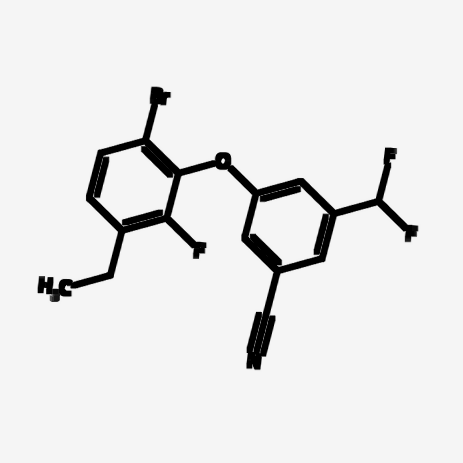 CCc1ccc(Br)c(Oc2cc(C#N)cc(C(F)F)c2)c1F